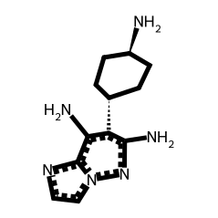 Nc1nn2ccnc2c(N)c1[C@H]1CC[C@H](N)CC1